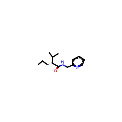 CCC[C@@H](C(=O)NCc1ccccn1)C(C)C